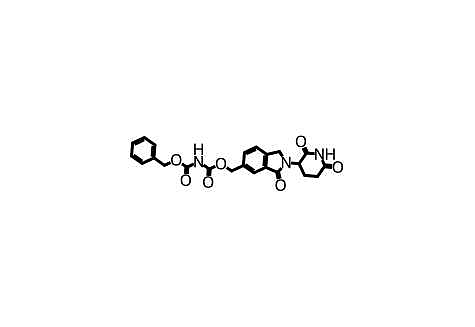 O=C1CCC(N2Cc3ccc(COC(=O)NC(=O)OCc4ccccc4)cc3C2=O)C(=O)N1